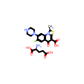 C[C@H]1Sc2c(C(=O)O)c(=O)c3cc(F)c(N4CCNCC4)cc3n21.N[C@@H](CCC(=O)O)C(=O)O